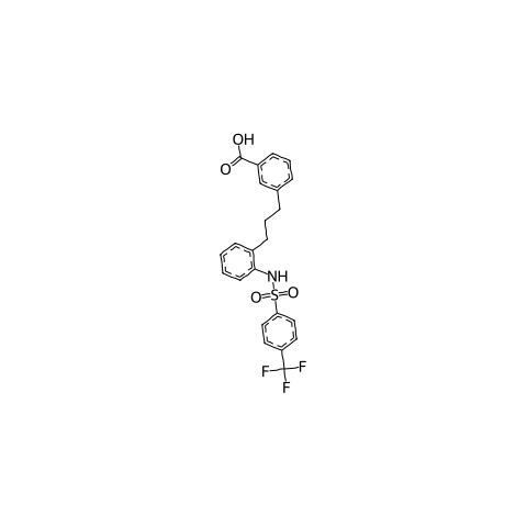 O=C(O)c1cccc(CCCc2ccccc2NS(=O)(=O)c2ccc(C(F)(F)F)cc2)c1